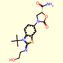 CC(C)(C)n1c(=NCCO)sc2cc(N3C[C@H](C(N)=O)OC3=O)ccc21